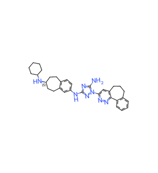 Nc1nc(Nc2ccc3c(c2)CC[C@@H](NC2CCCCC2)CC3)nn1-c1cc2c(nn1)-c1ccccc1CCC2